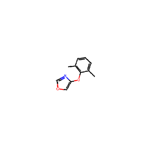 Cc1cccc(C)c1Oc1co[c]n1